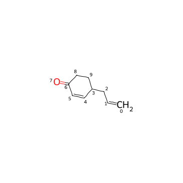 C=CCC1C=CC(=O)CC1